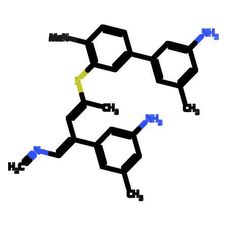 C=N/C=C(\C=C(/C)Sc1cc(-c2cc(C)cc(N)c2)ccc1NC)c1cc(C)cc(N)c1